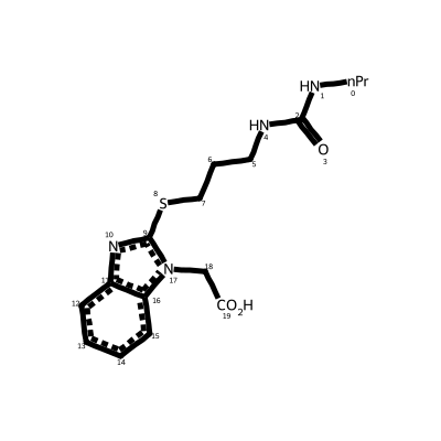 CCCNC(=O)NCCCSc1nc2ccccc2n1CC(=O)O